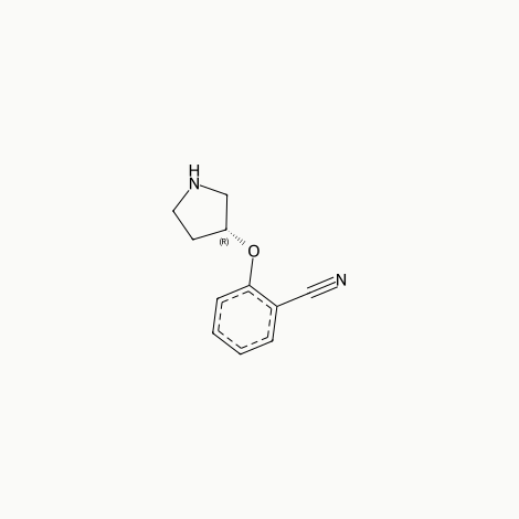 N#Cc1ccccc1O[C@@H]1CCNC1